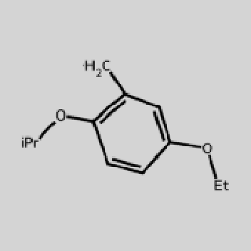 [CH2]c1cc(OCC)ccc1OC(C)C